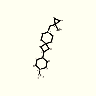 CCCC1(CN2CCC3(CC2)CC(C2CCN(C)CC2)C3)CC1